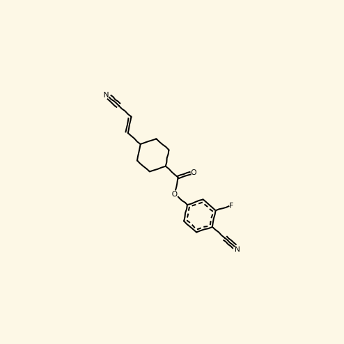 N#C/C=C/C1CCC(C(=O)Oc2ccc(C#N)c(F)c2)CC1